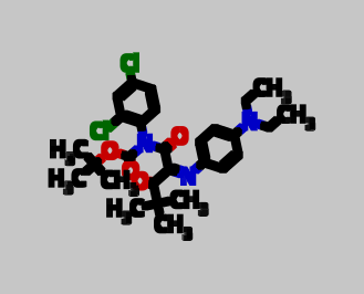 CCN(CC)c1ccc(N=C(C(=O)N(C(=O)OC(C)(C)C)c2ccc(Cl)cc2Cl)C(=O)C(C)(C)C)cc1